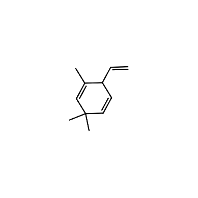 C=CC1C=CC(C)(C)C=C1C